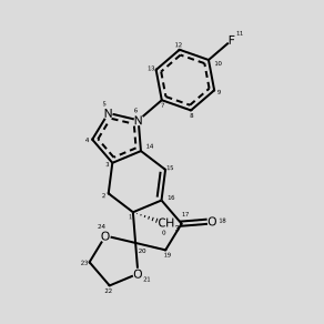 C[C@]12Cc3cnn(-c4ccc(F)cc4)c3C=C1C(=O)CC21OCCO1